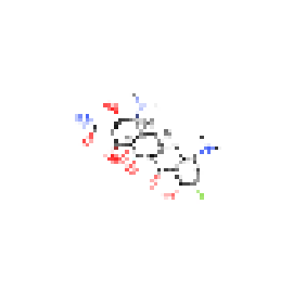 CN(C)c1cc(F)c(O)c2c1C[C@H]1C[C@H]3[C@H](N(C)C)C(O)=C(C(N)=O)C(=O)[C@@]3(O)C(O)=C1C2=O